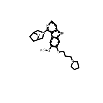 COc1cc2c(cc1OCCCN1CCCC1)[nH]c1ccnc(N3CC4CCC(C3)O4)c12